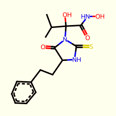 CC(C)C(O)(C(=O)NO)N1C(=O)C(CCc2ccccc2)NC1=S